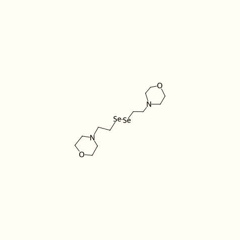 C1CN(CC[Se][Se]CCN2CCOCC2)CCO1